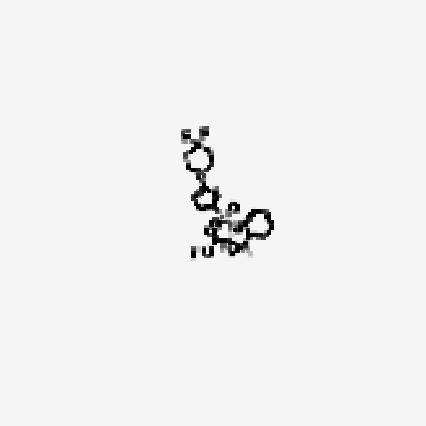 C[C@]1(c2ccccc2)C[C@@]1(NS(=O)(=O)c1ccc(N2CCC(F)(F)CC2)s1)C(=O)O